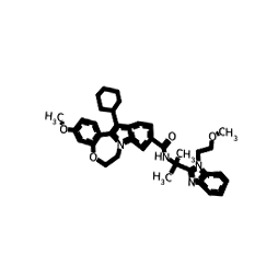 COCCn1c(C(C)(C)NC(=O)c2ccc3c(C4CCCCC4)c4n(c3c2)CCOc2cc(OC)ccc2-4)nc2ccccc21